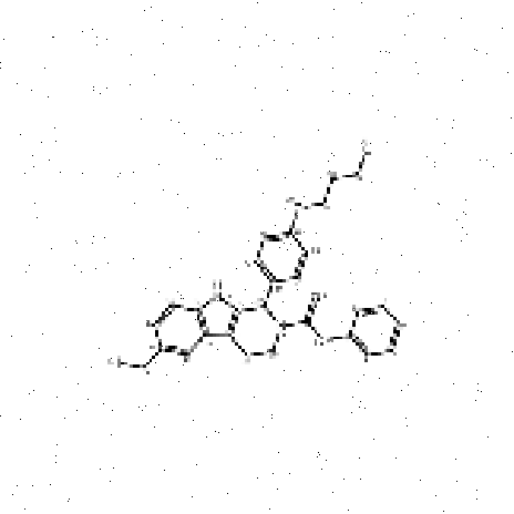 O=C(Oc1ccccc1)N1CCc2c([nH]c3ccc(CI)cc23)C1c1ccc(OCCCCl)cc1